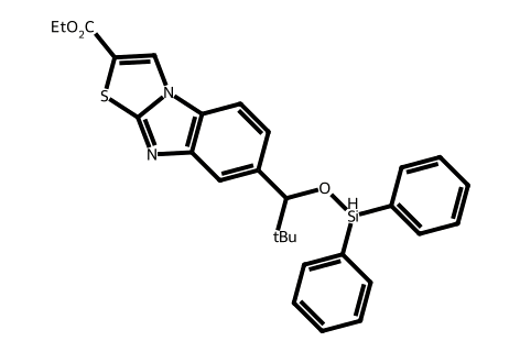 CCOC(=O)c1cn2c(nc3cc(C(O[SiH](c4ccccc4)c4ccccc4)C(C)(C)C)ccc32)s1